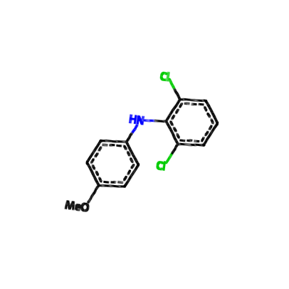 COc1ccc(Nc2c(Cl)cccc2Cl)cc1